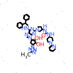 Cc1nnn([C@H]2C[C@@H](n3cnc4c(NCC(c5ccccc5)c5ccccc5)nc(N5CC[C@@H](NC(=O)NC6CCN(c7ccccn7)CC6)C5)nc43)[C@H](O)[C@@H]2O)n1